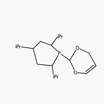 CC(C)C1CC(C(C)C)P(C2OC=CCO2)C(C(C)C)C1